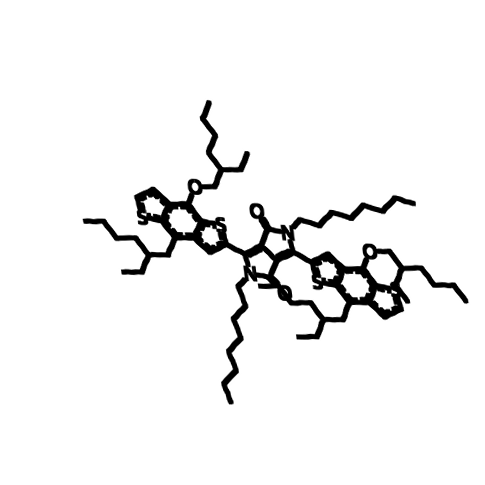 CCCCCCCCN1C(=O)C2=C(c3cc4c(CC(CC)CCCC)c5sccc5c(OCC(CC)CCCC)c4s3)N(CCCCCCCC)C(=O)C2=C1c1cc2c(OCC(CC)CCCC)c3sccc3c(CC(CC)CCCC)c2s1